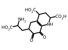 NC(CC1CC2=C(NC(C(=O)O)CC2C(=O)O)C(=O)C1=O)C(=O)O